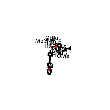 COC(=O)N[C@H](C(=O)NN(Cc1c(F)cc(-c2nnc(C3CC3)s2)cc1F)C[C@H](O)[C@H](Cc1ccc(C#Cc2ccc(N3CC4CCC(C3)N4C3COC3)nc2)cc1)NC(=O)[C@@H](NC(=O)OC)C(C)(C)C(F)(F)F)C(C)(C)C